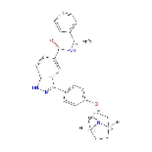 CCC[C@H](NC(=O)c1ccc2[nH]nc(-c3ccc(O[C@@H]4C[C@H]5CC[C@@H](C4)N5C=O)cc3)c2c1)c1ccccc1